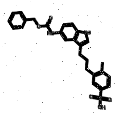 Cc1ccc(S(=O)(=O)O)cc1CCCc1c[nH]c2ccc(NC(=O)OCc3ccccc3)cc12